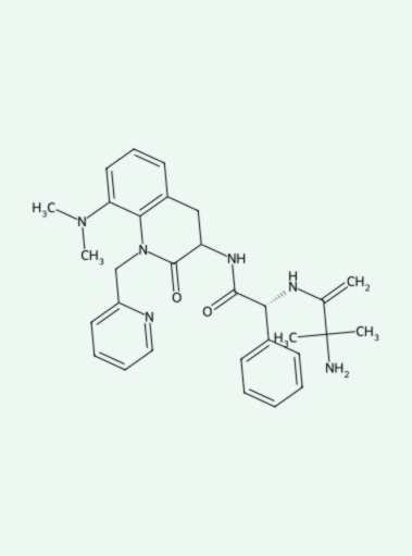 C=C(N[C@@H](C(=O)NC1Cc2cccc(N(C)C)c2N(Cc2ccccn2)C1=O)c1ccccc1)C(C)(C)N